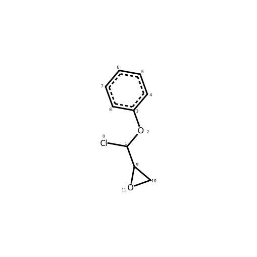 ClC(Oc1ccccc1)C1CO1